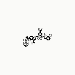 CC(=O)c1cn(CC(=O)N2CC(=C(F)F)C[C@H]2C(=O)NCc2cccc(Cl)c2F)c2ccc(C3(NC(=O)c4ncccn4)CC3)cc12